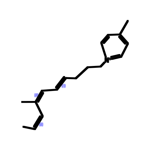 C\C=C/C(C)=C\C=C\CCC[n+]1ccc(C)cc1